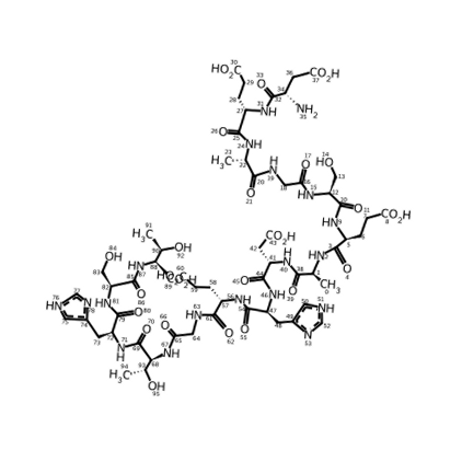 C[C@H](NC(=O)[C@H](CCC(=O)O)NC(=O)[C@H](CO)NC(=O)CNC(=O)[C@H](C)NC(=O)[C@H](CCC(=O)O)NC(=O)[C@@H](N)CC(=O)O)C(=O)N[C@@H](CC(=O)O)C(=O)N[C@@H](Cc1c[nH]cn1)C(=O)N[C@@H](CCC(=O)O)C(=O)NCC(=O)N[C@H](C(=O)N[C@@H](Cc1c[nH]cn1)C(=O)N[C@@H](CO)C(=O)N[C@H](C(=O)O)[C@@H](C)O)[C@@H](C)O